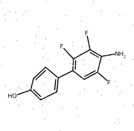 Nc1c(F)cc(-c2ccc(O)cc2)c(F)c1F